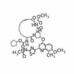 COC(=O)[C@]12NC(=O)[C@@H]3C[C@@H](Oc4cc(-c5csc(NC(C)=O)n5)nc5c(C)c(OC)ccc45)CN3C(=O)[C@@H](NC(=O)OC3CCCC3)CCCCC/C=C\C1O2